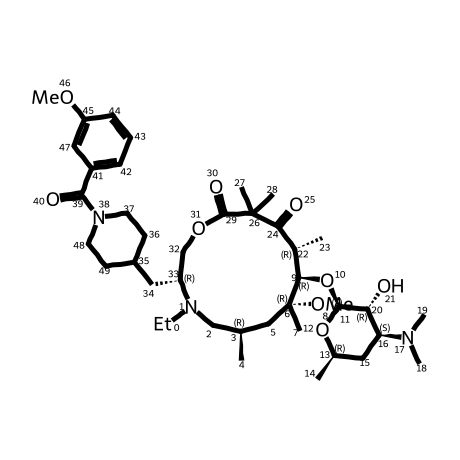 CCN1C[C@H](C)C[C@@](C)(OC)[C@H](O[C@@H]2O[C@H](C)C[C@H](N(C)C)[C@H]2O)[C@@H](C)C(=O)C(C)(C)C(=O)OC[C@H]1CC1CCN(C(=O)c2cccc(OC)c2)CC1